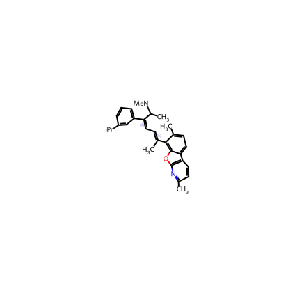 CNC(C)/C(=C\C=C(/C)c1c(C)ccc2c1oc1nc(C)ccc12)c1cccc(C(C)C)c1